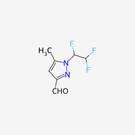 Cc1cc(C=O)nn1C(F)C(F)F